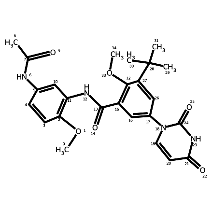 COc1ccc(NC(C)=O)cc1NC(=O)c1cc(-n2ccc(=O)[nH]c2=O)cc(C(C)(C)C)c1OC